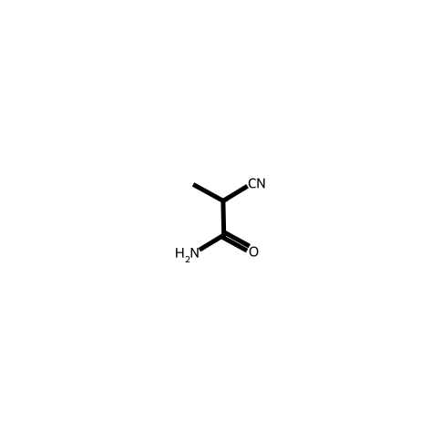 C[C](C#N)C(N)=O